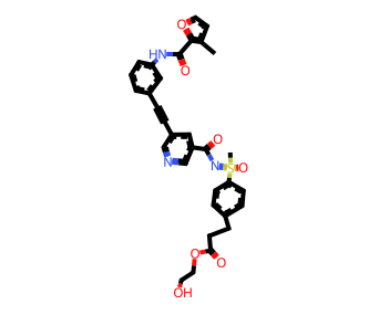 Cc1ccoc1C(=O)Nc1cccc(C#Cc2cncc(C(=O)N=S(C)(=O)c3ccc(CCC(=O)OCCO)cc3)c2)c1